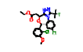 CCOC(=O)CC1OC(c2cccc(OC)c2Cl)c2cc(Cl)ccc2-n2c1nnc2C(C)(C)F